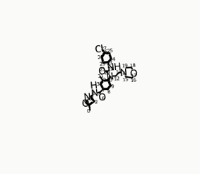 Cc1cc(NC(=O)c2ccc(N(CCN3CCOCC3)C(=O)Nc3ccc(Cl)cc3)c(C)c2)no1